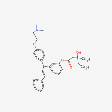 CC(=CC(c1ccc(OCCN(C)C)cc1)c1cccc(OC(=O)CC(O)(CC(=O)O)C(=O)O)c1)c1ccccc1